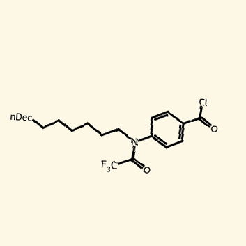 CCCCCCCCCCCCCCCCN(C(=O)C(F)(F)F)c1ccc(C(=O)Cl)cc1